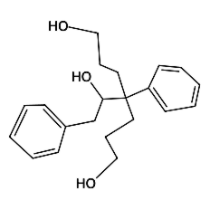 OCCCC(CCCO)(c1ccccc1)C(O)Cc1ccccc1